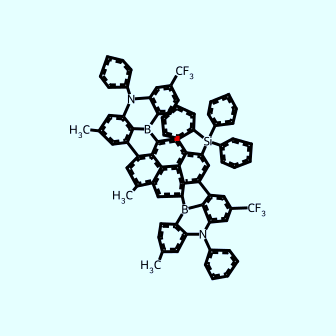 Cc1ccc2c(c1)N(c1ccccc1)c1cc(C(F)(F)F)cc3c1B2c1cc2c(C)cc4c5c(cc6c([Si](c7ccccc7)(c7ccccc7)c7ccccc7)cc-3c1c6c25)B1c2ccc(C(F)(F)F)cc2N(c2ccccc2)c2cc(C)cc-4c21